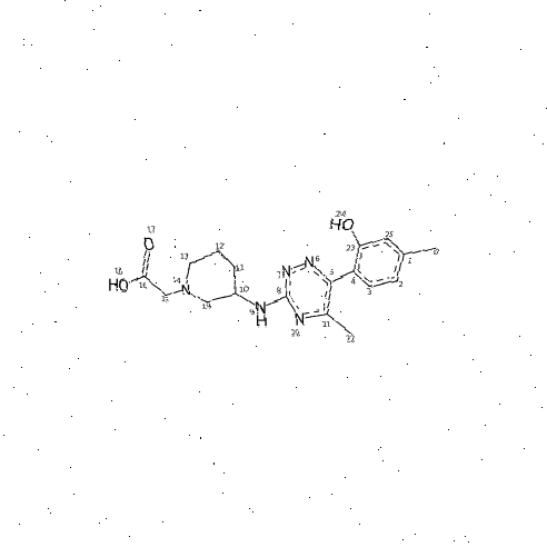 Cc1ccc(-c2nnc(NC3CCCN(CC(=O)O)C3)nc2C)c(O)c1